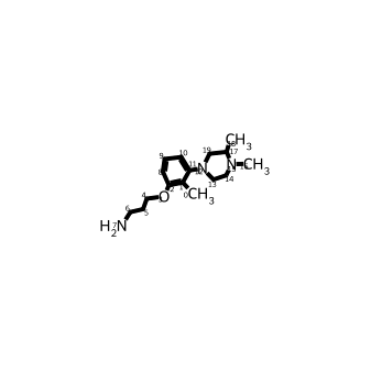 Cc1c(OCCCN)cccc1N1CCN(C)C(C)C1